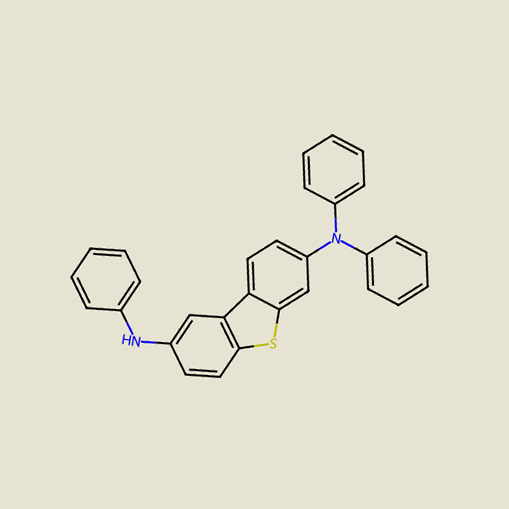 c1ccc(Nc2ccc3sc4cc(N(c5ccccc5)c5ccccc5)ccc4c3c2)cc1